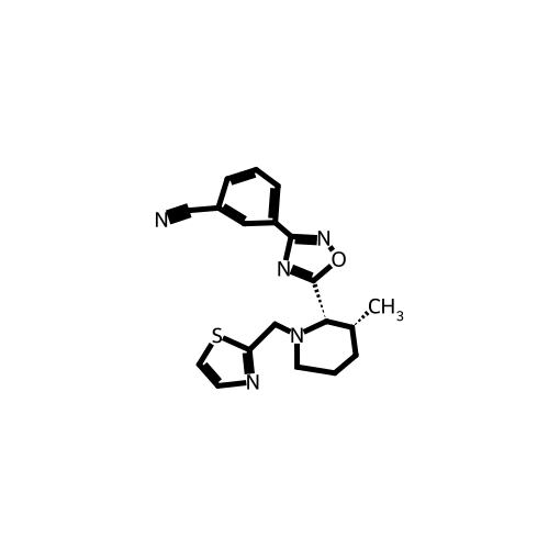 C[C@@H]1CCCN(Cc2nccs2)[C@@H]1c1nc(-c2cccc(C#N)c2)no1